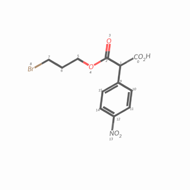 O=C(O)C(C(=O)OCCCBr)c1ccc([N+](=O)[O-])cc1